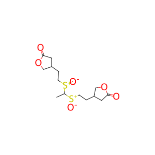 CC([S+]([O-])CCC1COC(=O)C1)[S+]([O-])CCC1COC(=O)C1